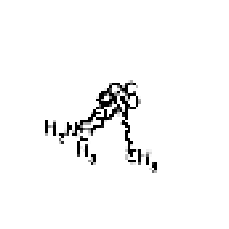 CCCCCCCN(CCCCCCC)C(=O)N1C(=O)CCc2ccc(OCCCCN)cc21